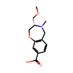 COC[C@H]1COc2cc(C(=O)O)ccc2CN1C